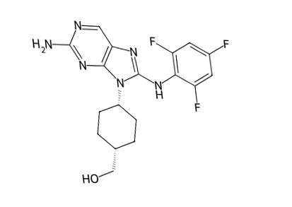 Nc1ncc2nc(Nc3c(F)cc(F)cc3F)n([C@H]3CC[C@@H](CO)CC3)c2n1